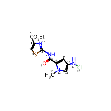 CCOC(=O)c1csc(NC(=O)c2cc(NCl)cn2C)n1